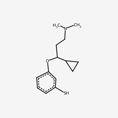 CN(C)CCC(Oc1cccc(S)c1)C1CC1